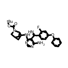 CC(C)(C)OC(=O)N1CC2CC(Nc3ncnc(N)c3C(=N)c3ccc(Oc4ccccc4)cc3F)C1C2